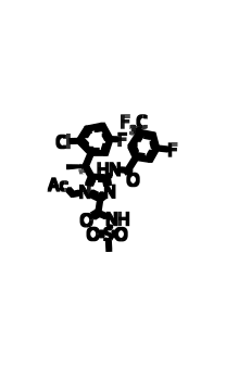 CC(=O)Cn1c(C(=O)NS(C)(=O)=O)nc(NC(=O)c2cc(F)cc(C(F)(F)F)c2)c1[C@@H](C)c1cc(F)ccc1Cl